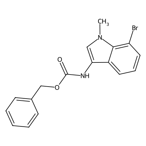 Cn1cc(NC(=O)OCc2ccccc2)c2cccc(Br)c21